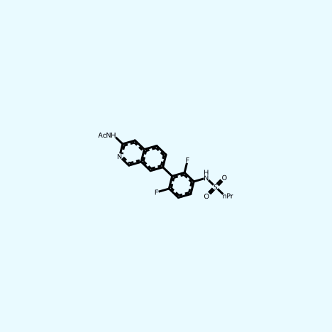 CCCS(=O)(=O)Nc1ccc(F)c(-c2ccc3cc(NC(C)=O)ncc3c2)c1F